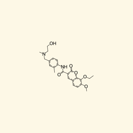 CCOc1c(OC)ccc2cc(C(=O)Nc3ccc(CN(C)CCO)cc3C)c(=O)oc12